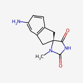 CN1C(=O)NC(=O)[C@]12Cc1ccc(N)cc1C2